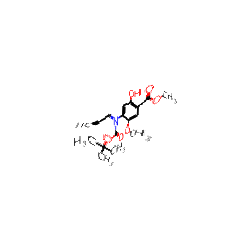 C#CCN(C(=O)OC(C)(C)C)c1cc(O)c(C(=O)OC)cc1OC